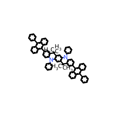 CC1(C)c2cc(-c3c4ccccc4c(-c4ccccc4)c4ccccc34)ccc2N(c2ccccc2)c2cc3c(cc21)N(c1ccccc1)c1ccc(-c2c4ccccc4c(-c4ccccc4)c4ccccc24)cc1C3(C)C